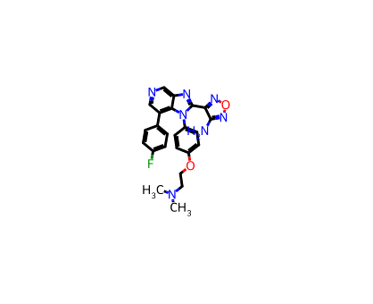 CN(C)CCOc1ccc(-n2c(-c3nonc3N)nc3cncc(-c4ccc(F)cc4)c32)cc1